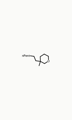 CCCCCCCC1(C)CCCOC1